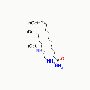 CCCCCCCC/C=C\CCCCCCCC(N)=O.CCCCCCCCCCCCCCCCN.CCCCCCCCN